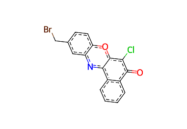 O=c1c(Cl)c2oc3ccc(CBr)cc3nc-2c2ccccc12